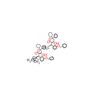 CC=C(C1=C(O)CC(c2ccccc2)(C2CCCCC2)OC1=O)c1cccc(OCc2ccccc2)c1.C[Si](C)(C)CC=C(C1=C(O)CC(c2ccccc2)(C2CCCCC2)OC1=O)c1cccc(OCc2ccccc2)c1